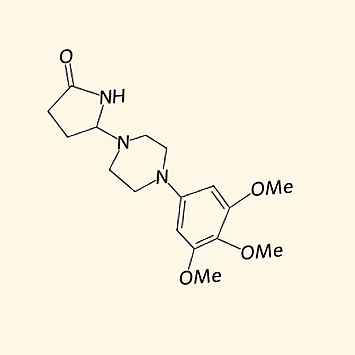 COc1cc(N2CCN(C3CCC(=O)N3)CC2)cc(OC)c1OC